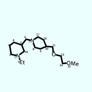 CCN1CCCC(CN2CCC(COCCOC)CC2)C1